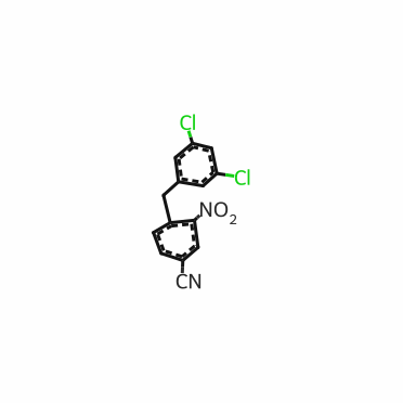 N#[13C]c1ccc(Cc2cc(Cl)cc(Cl)c2)c([N+](=O)[O-])c1